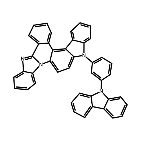 c1cc(-n2c3ccccc3c3ccccc32)cc(-n2c3ccccc3c3c4c5ccccc5c5nc6ccccc6n5c4ccc32)c1